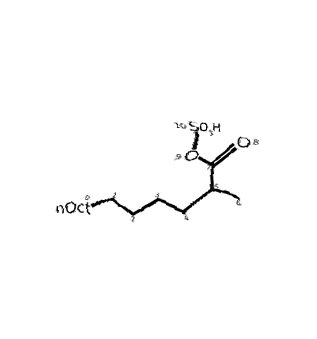 CCCCCCCCCCCCC(C)C(=O)OS(=O)(=O)O